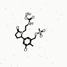 Cc1c(Cl)cc(C2CCC(=O)N2CCNC(=O)OC(C)(C)C)cc1COS(C)(=O)=O